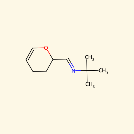 CC(C)(C)/N=C/C1CCC=CO1